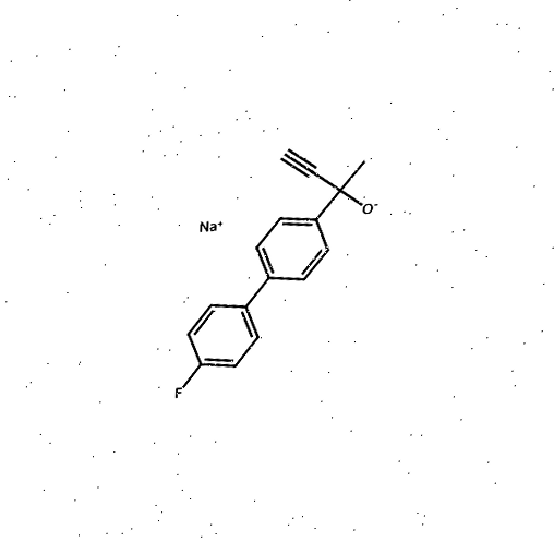 C#CC(C)([O-])c1ccc(-c2ccc(F)cc2)cc1.[Na+]